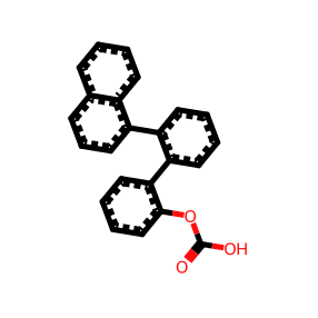 O=C(O)Oc1ccccc1-c1ccccc1-c1cccc2ccccc12